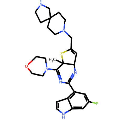 CC12SC(CN3CCC4(CCNC4)CC3)=CC1N=C(c1cc(F)cc3[nH]ccc13)N=C2N1CCOCC1